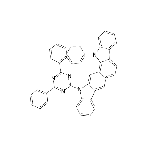 c1ccc(-c2nc(-c3ccccc3)nc(-n3c4ccccc4c4cc5ccc6c7ccccc7n(-c7ccccc7)c6c5cc43)n2)cc1